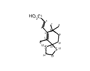 CC1=C(C=CC(=O)O)C(C)(C)CCC12SCCS2